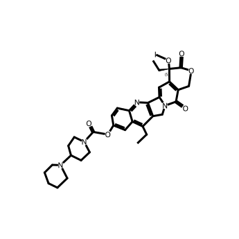 CCc1c2c(nc3ccc(OC(=O)N4CCC(N5CCCCC5)CC4)cc13)-c1cc3c(c(=O)n1C2)COC(=O)[C@@]3(CC)OI